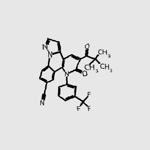 CC(C)(C)C(=O)c1cc2c(c3cc(C#N)ccc3n3nccc23)n(-c2cccc(C(F)(F)F)c2)c1=O